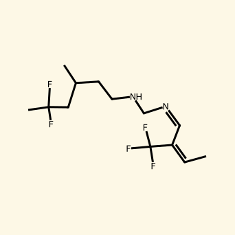 C/C=C(\C=N/CNCCC(C)CC(C)(F)F)C(F)(F)F